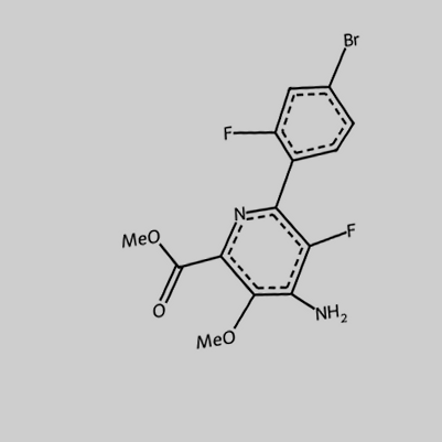 COC(=O)c1nc(-c2ccc(Br)cc2F)c(F)c(N)c1OC